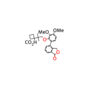 COc1ccc(-c2cccc3c2COC3=O)c(OCC(C)(C)C2(C(=O)O)CCC2)c1OC